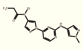 CCN(C(=O)CC(F)(F)F)c1cnn(-c2ccnc(Nc3cnn(C)c3)n2)c1